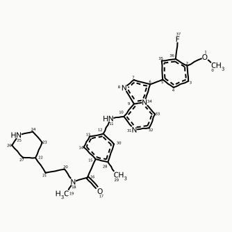 COc1ccc(-c2cnc3c(Nc4ccc(C(=O)N(C)CCC5CCNCC5)c(C)c4)nccn23)cc1F